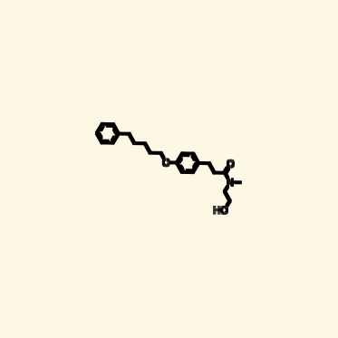 CN(CCO)C(=O)CCc1ccc(OCCCCCc2ccccc2)cc1